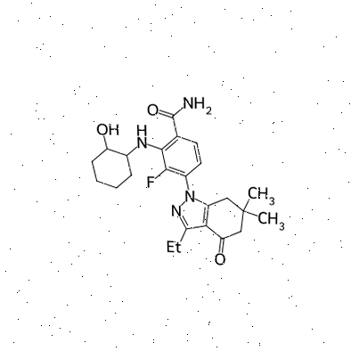 CCc1nn(-c2ccc(C(N)=O)c(NC3CCCCC3O)c2F)c2c1C(=O)CC(C)(C)C2